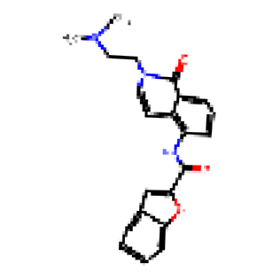 CN(C)CCn1ccc2c(NC(=O)c3cc4ccccc4o3)cccc2c1=O